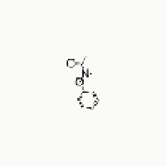 CC(=O)[N]Oc1ccccc1